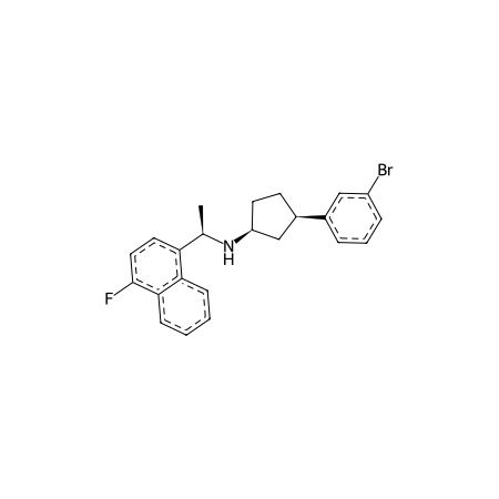 C[C@@H](N[C@H]1CC[C@@H](c2cccc(Br)c2)C1)c1ccc(F)c2ccccc12